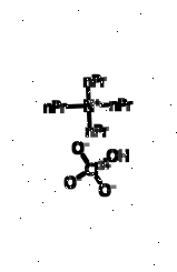 CCC[N+](CCC)(CCC)CCC.[O-][Cl+3]([O-])([O-])O